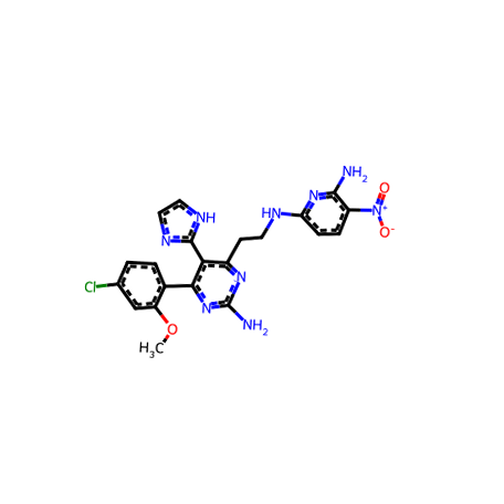 COc1cc(Cl)ccc1-c1nc(N)nc(CCNc2ccc([N+](=O)[O-])c(N)n2)c1-c1ncc[nH]1